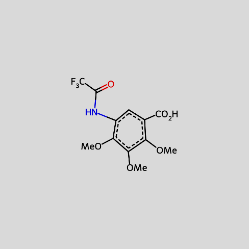 COc1c(NC(=O)C(F)(F)F)cc(C(=O)O)c(OC)c1OC